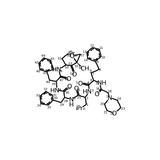 CC(C)CC(NC(=O)C(CCc1ccccc1)NC(=O)CN1CCOCC1)C(=O)NC(Cc1ccccc1)C(=O)NC(Cc1ccccc1)C(=O)NC(CC(C)C)C(=O)[C@@]1(C)CO1